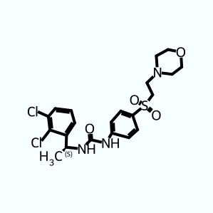 C[C@H](NC(=O)Nc1ccc(S(=O)(=O)CCN2CCOCC2)cc1)c1cccc(Cl)c1Cl